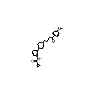 COc1ccc(C(=O)CCCN2CCC(c3cccc(NC(=O)C4CC4)c3)CC2)cc1